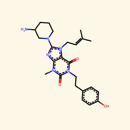 CC(C)=CCn1c(N2CCCC(N)C2)nc2c1c(=O)n(CCc1ccc(O)cc1)c(=O)n2C